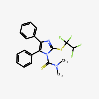 CN(C)C(=S)n1c(SC(F)(F)C(F)F)nc(-c2ccccc2)c1-c1ccccc1